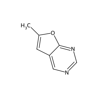 Cc1cc2cncnc2o1